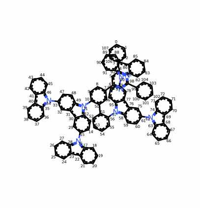 c1ccc(-c2cc(-c3ccc(-n4c5ccc(-n6c7ccccc7c7ccccc76)cc5c5cc(-n6c7ccccc7c7ccccc76)ccc54)c(-c4ccccc4-n4c5ccc(-n6c7ccccc7c7ccccc76)cc5c5cc(-n6c7ccccc7c7ccccc76)ccc54)c3)nc(-c3ccccc3)n2)cc1